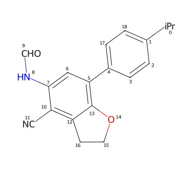 CC(C)c1ccc(-c2cc(NC=O)c(C#N)c3c2OCC3)cc1